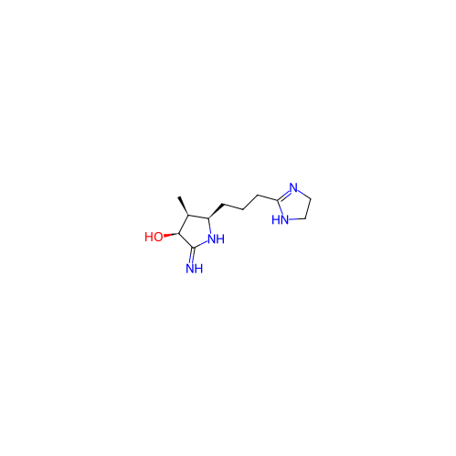 C[C@@H]1[C@H](O)C(=N)N[C@@H]1CCCC1=NCCN1